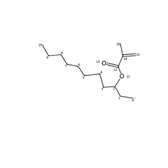 [CH2]CC(CCCCCCCC)OC(=O)C(=C)C